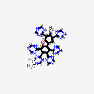 C=N/C=N\C(=N/C)c1c(-c2ncncn2)c(-c2ncncn2)c2c(oc3c(-c4ncncn4)c(C)c(-c4ncncn4)cc32)c1-c1ncncn1